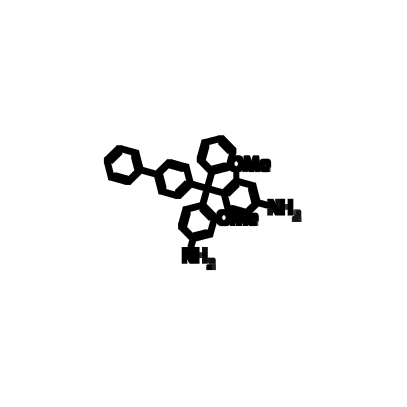 COc1cc(N)ccc1C(c1ccccc1)(c1ccc(-c2ccccc2)cc1)c1ccc(N)cc1OC